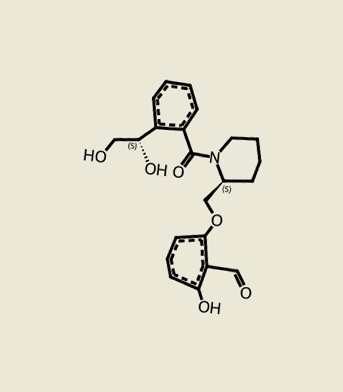 O=Cc1c(O)cccc1OC[C@@H]1CCCCN1C(=O)c1ccccc1[C@H](O)CO